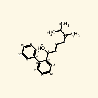 CC(C)N(C)CCCC(O)c1ccccc1-c1ccccc1